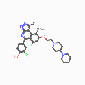 COc1c(OCCN2CCC(N3CCCCC3)CC2)cc(F)c2c(-c3ccc(O)c(Cl)c3)nc3[nH]nc(C)c3c12